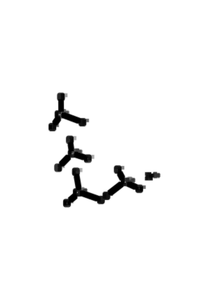 [O-][Cl+2]([O-])[O-].[O-][Cl+2]([O-])[O-].[O-][Cl+2]([O-])[O-].[O-][Cl+2]([O-])[O-].[Zr+4]